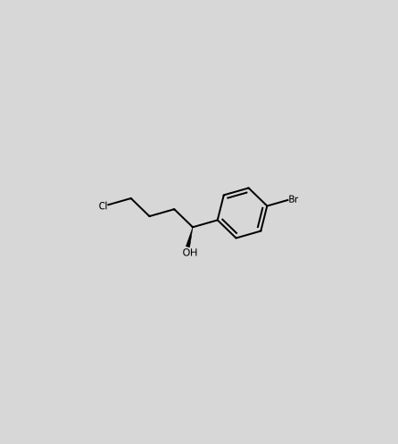 O[C@@H](CCCCl)c1ccc(Br)cc1